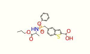 CCCOC(=O)C(C)NP(=O)(Cc1ccc2sc(C(=O)O)cc2c1)Oc1ccccc1